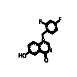 O=c1ncn(Cc2ccc(F)cc2F)c2ccc(O)cc12